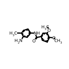 COc1ccc(C(=O)Nc2ccc(C)c(N)c2)cc1OC